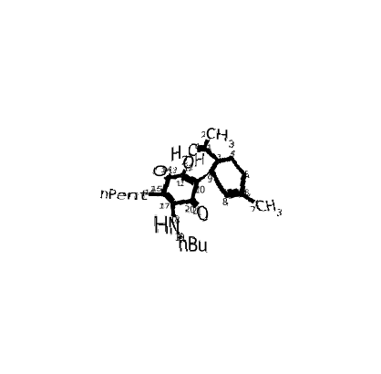 C=C(C)C1CCC(C)=C[C@H]1C1=C(O)C(=O)C(CCCCC)=C(NCCCC)C1=O